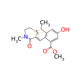 CCc1cc(O)cc(C(=O)OC)c1C=C1SCCN(C)C1=O